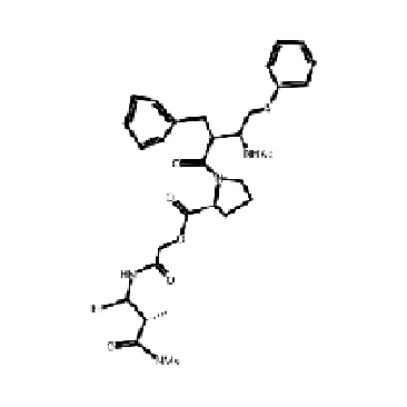 CCC(NC(=O)COC(=O)[C@@H]1CCCN1C(=O)[C@@H](Cc1ccccc1)[C@@H](CSc1ccccc1)NC(C)=O)[C@H](C)C(=O)NC